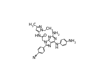 CCn1nc(C)cc1NC(=O)Cn1c(-c2ccc(C#N)cc2)nc2c(Nc3ccc(N)cc3)nc(N)nc21